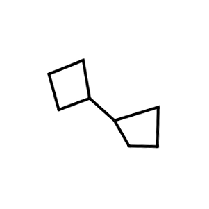 C1CC(C2CCC2)C1